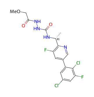 COCC(=O)NNC(=O)N[C@H](C)c1ncc(-c2cc(Cl)cc(F)c2Cl)cc1F